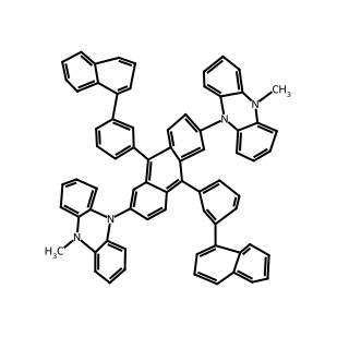 CN1c2ccccc2N(c2ccc3c(-c4cccc(-c5cccc6ccccc56)c4)c4cc(N5c6ccccc6N(C)c6ccccc65)ccc4c(-c4cccc(-c5cccc6ccccc56)c4)c3c2)c2ccccc21